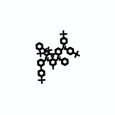 Cc1cc2c3c(c1)N(c1ccccc1)c1cc(N(c4ccc(C(C)(C)C)cc4)c4ccc(C(C)(C)C)cc4)ccc1B3C1=C(C3=C(c4ccccc4C3(C)C)[Si]1(C)C)N2c1cccc(-c2ccc(C(C)(C)C)cc2)c1